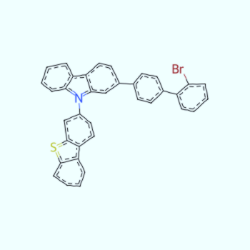 Brc1ccccc1-c1ccc(-c2ccc3c4ccccc4n(-c4ccc5c(c4)sc4ccccc45)c3c2)cc1